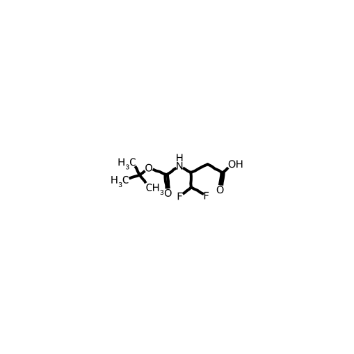 CC(C)(C)OC(=O)NC(CC(=O)O)C(F)F